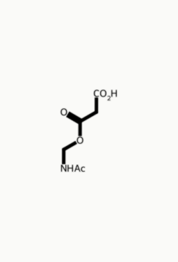 CC(=O)NCOC(=O)CC(=O)O